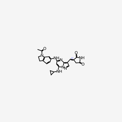 CC(=O)N1CCc2ccc(Nc3cc(NC4CC4)n4ncc(/C=C5\CC(=O)NC5=O)c4n3)cc21